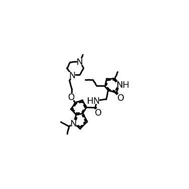 CCCc1cc(C)[nH]c(=O)c1CNC(=O)c1cc(OCCN2CCN(C)CC2)cc2c1ccn2C(C)C